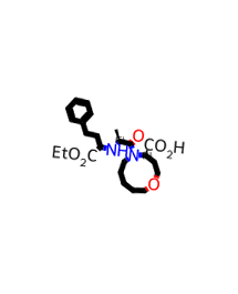 CCOC(=O)C(CCc1ccccc1)N[C@@H](C)C(=O)N1CCCCCOCC[C@H]1C(=O)O